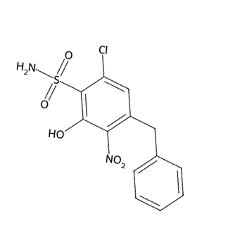 NS(=O)(=O)c1c(Cl)cc(Cc2ccccc2)c([N+](=O)[O-])c1O